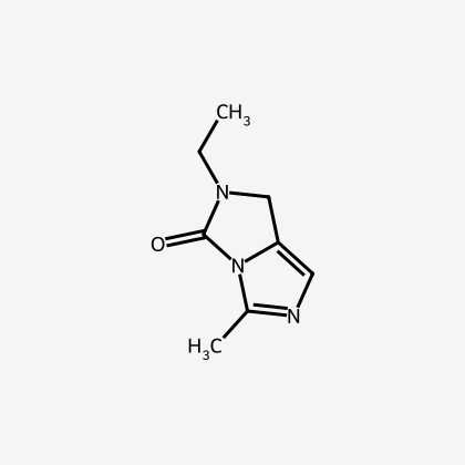 CCN1Cc2cnc(C)n2C1=O